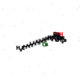 CCCCCCCCCCCCCCCCCCCCCC(=O)C(O)(CC)[N+](C)(C)C.[Cl-]